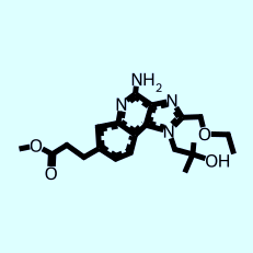 CCOCc1nc2c(N)nc3cc(CCC(=O)OC)ccc3c2n1CC(C)(C)O